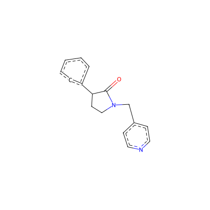 O=C1C(c2ccccc2)CCN1Cc1ccncc1